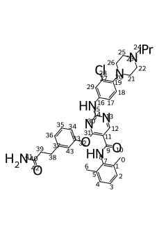 Cc1cccc(C)c1NC(=O)c1cnc(Nc2ccc(N3CCN(C(C)C)CC3)c(Cl)c2)nc1Oc1cccc(CCC(N)=O)c1